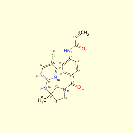 C=CC(=O)Nc1ccc(C(=O)N2CCC(C)(Nc3ncc(Cl)cn3)C2)cc1